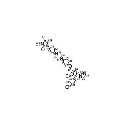 CCN1C(=O)N(c2ccc(N3CCN(c4ccc(OCC5COC(Cn6ccnc6)(c6ccc(Cl)cc6Cl)O5)cc4)CC3)cc2)C(=O)C1C